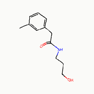 Cc1cccc(CC(=O)NCCCO)c1